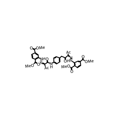 COC(=O)c1ccc(C(=O)OC)c(N/N=C(/C(C)=O)C(=O)Cc2ccc(NC(=O)/C(=N\Nc3cc(C(=O)OC)ccc3C(=O)OC)C(C)=O)cc2)c1